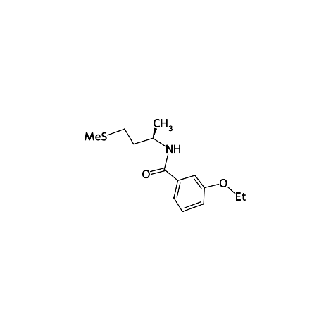 CCOc1cccc(C(=O)N[C@H](C)CCSC)c1